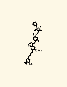 C=C1C(CNc2ccc(Oc3ccnc4cc(CCCCN5CC(N=O)C6(CC6)C5)c(OC)cc34)c(F)c2)=C(C)N(C)N1C1=CCCC=C1